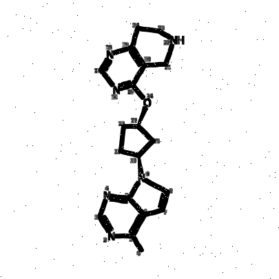 Cc1ncnc2c1ccn2[C@H]1CC[C@@H](Oc2ncnc3c2CNCC3)C1